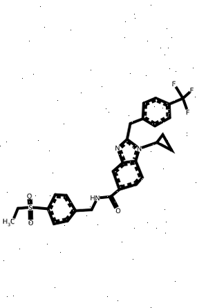 CCS(=O)(=O)c1ccc(CNC(=O)c2ccc3c(c2)nc(Cc2ccc(C(F)(F)F)cc2)n3C2CC2)cc1